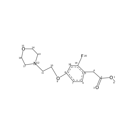 COC(=O)Cc1ccc(OCCN2CCOCC2)cc1F